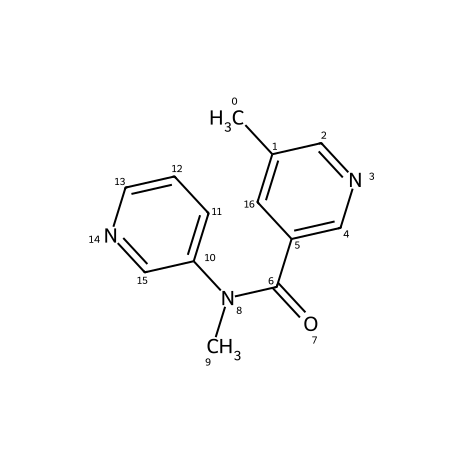 Cc1cncc(C(=O)N(C)c2cccnc2)c1